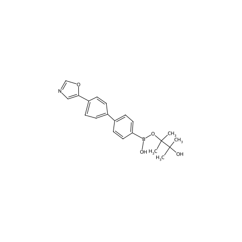 CC(C)(O)C(C)(C)OB(O)c1ccc(-c2ccc(-c3cnco3)cc2)cc1